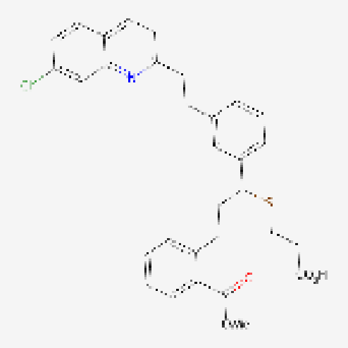 COC(=O)c1ccccc1CCC(SCCC(=O)O)c1cccc(CCc2ccc3ccc(Cl)cc3n2)c1